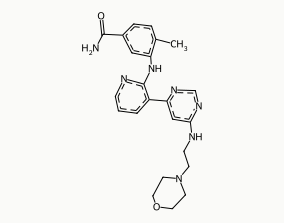 Cc1ccc(C(N)=O)cc1Nc1ncccc1-c1cc(NCCN2CCOCC2)ncn1